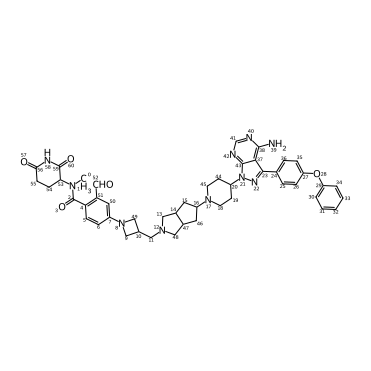 CN(C(=O)c1ccc(N2CC(CN3CC4CC(N5CCC(n6nc(-c7ccc(Oc8ccccc8)cc7)c7c(N)ncnc76)CC5)CC4C3)C2)cc1C=O)C1CCC(=O)NC1=O